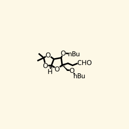 CCCCOC[C@@]1(CCC=O)O[C@@H]2OC(C)(C)OC2C1OCCCC